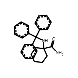 NC(=O)C1(NC(c2ccccc2)(c2ccccc2)c2ccccc2)CCCCC1